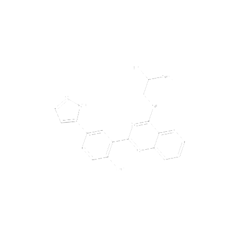 CCC(N)CNc1nc(-c2cc(-c3ccn[nH]3)ccc2O)nc2ccccc12